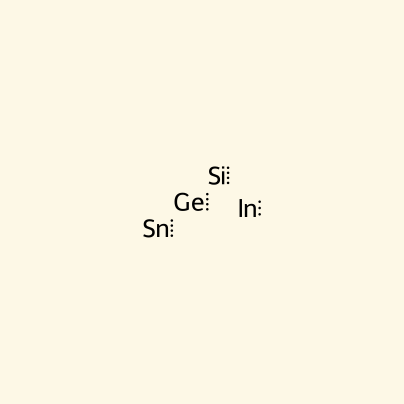 [Ge].[In].[Si].[Sn]